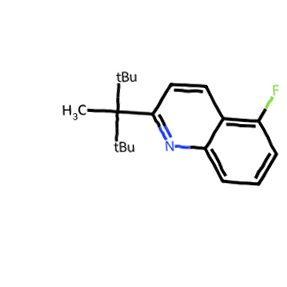 CC(C)(C)C(C)(c1ccc2c(F)cccc2n1)C(C)(C)C